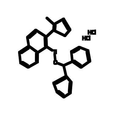 CC1=C(c2ccc3ccccc3[c]2[Ti][O]C(c2ccccc2)c2ccccc2)CC=C1.Cl.Cl